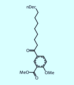 CCCCCCCCCCCCCCCCCC(=O)c1ccc(OC)c(C(=O)OC)c1